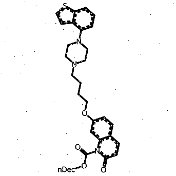 CCCCCCCCCCOC(=O)n1c(=O)ccc2ccc(OCCCCN3CCN(c4cccc5sccc45)CC3)cc21